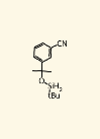 CC(C)(C)[SiH2]OC(C)(C)c1cccc(C#N)c1